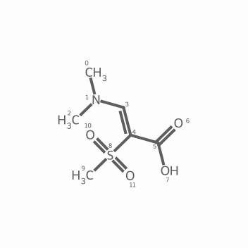 CN(C)C=C(C(=O)O)S(C)(=O)=O